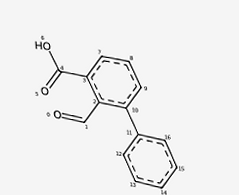 O=Cc1c(C(=O)O)cccc1-c1ccccc1